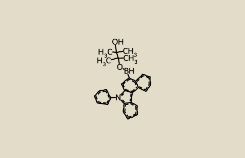 CC(C)(O)C(C)(C)OBc1cc2c(c3ccccc13)c1ccccc1n2-c1ccccc1